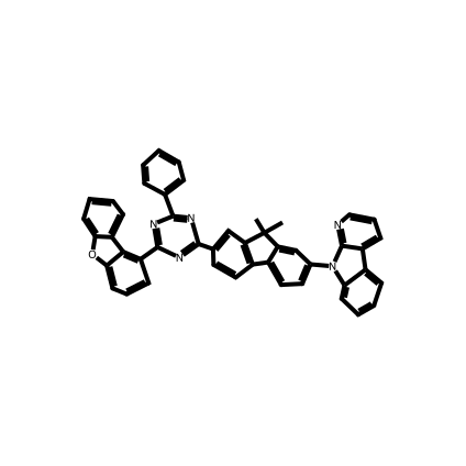 CC1(C)c2cc(-c3nc(-c4ccccc4)nc(-c4cccc5oc6ccccc6c45)n3)ccc2-c2ccc(-n3c4ccccc4c4cccnc43)cc21